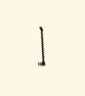 O=C=NCCCCCCCCCCCCCCCCCCCCCCCCCCCCCCCOP(=O)(O)O